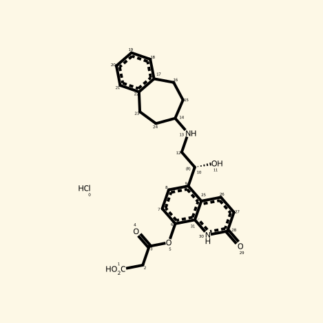 Cl.O=C(O)CC(=O)Oc1ccc([C@@H](O)CNC2CCc3ccccc3CC2)c2ccc(=O)[nH]c12